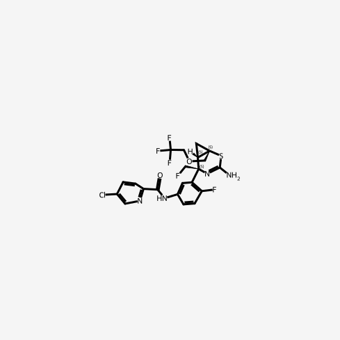 NC1=N[C@](CF)(c2cc(NC(=O)c3ccc(Cl)cn3)ccc2F)[C@@H]2C[C@]2(COCC(F)(F)F)S1